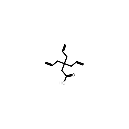 C=CCC(CC=C)(CC=C)CC(=O)O